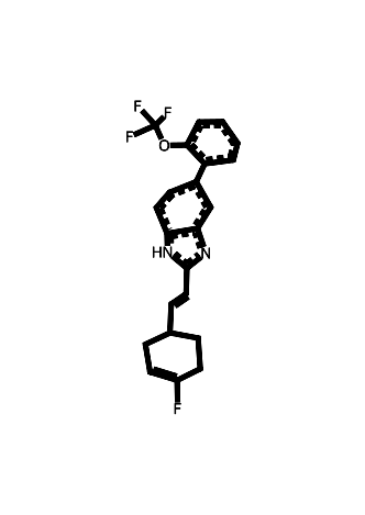 FC1=CCC(C=Cc2nc3cc(-c4ccccc4OC(F)(F)F)ccc3[nH]2)CC1